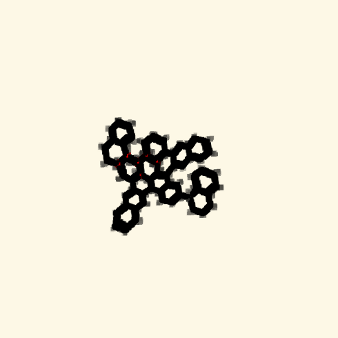 c1ccc(-c2cc3ccccc3cc2-c2c3ccc(N4CCCc5ccccc54)cc3c(-c3cc4ccccc4cc3-c3ccccc3)c3ccc(N4CCCc5ccccc54)cc23)cc1